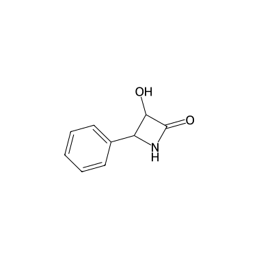 O=C1NC(c2ccccc2)C1O